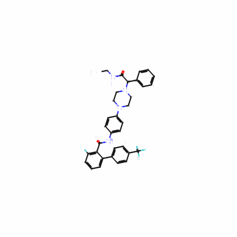 CCNC(=O)C(c1ccccc1)N1CCN(c2ccc(NC(=O)c3c(F)cccc3-c3ccc(C(F)(F)F)cc3)cc2)CC1